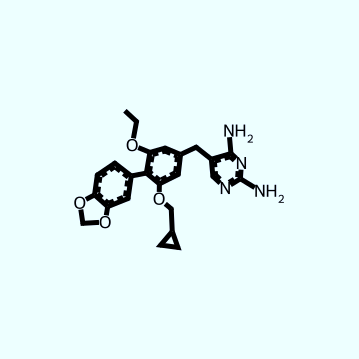 CCOc1cc(Cc2cnc(N)nc2N)cc(OCC2CC2)c1-c1ccc2c(c1)OCO2